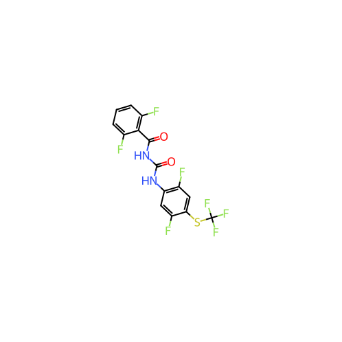 O=C(NC(=O)c1c(F)cccc1F)Nc1cc(F)c(SC(F)(F)F)cc1F